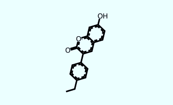 CCc1ccc(-c2cc3ccc(O)cc3oc2=O)cc1